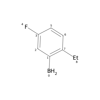 Bc1cc(F)ccc1CC